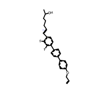 C=CCOc1ccc(-c2ccc(-c3ccc(/C=C/CCCC(C)O)c(F)c3F)cc2)cc1